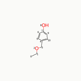 CCOCc1ccc(O)cc1